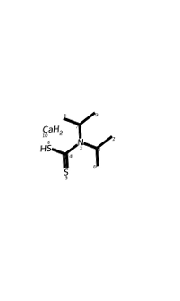 CC(C)N(C(=S)S)C(C)C.[CaH2]